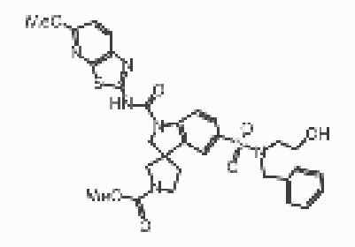 COC(=O)N1CCC2(C1)CN(C(=O)Nc1nc3ccc(OC)nc3s1)c1ccc(S(=O)(=O)N(CCO)Cc3ccccc3)cc12